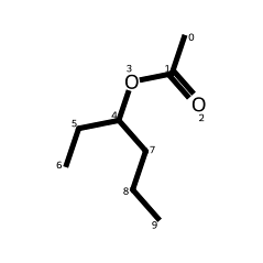 [CH2]C(=O)OC(CC)CCC